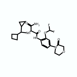 NC(=O)[C@H](NC(C1CCC1)C1CC1)C(=O)Nc1ccc(N2CCOCC2=O)cc1OC(F)F